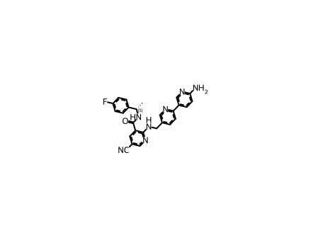 C[C@H](NC(=O)c1cc(C#N)cnc1NCc1ccc(-c2ccc(N)nc2)nc1)c1ccc(F)cc1